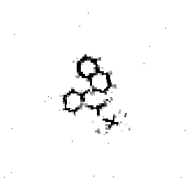 CC(C)(C)OC(=O)N1CCCCC1N1CC=Cc2ccccc21